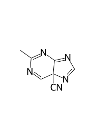 CC1=NC2=NC=NC2(C#N)C=N1